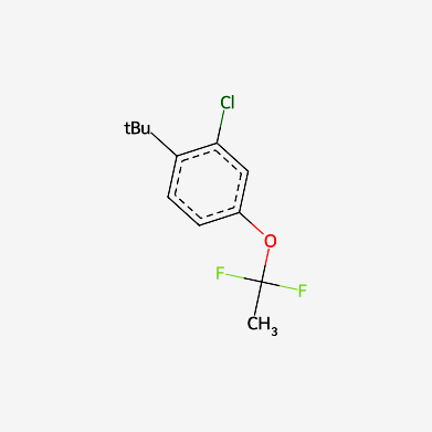 CC(F)(F)Oc1ccc(C(C)(C)C)c(Cl)c1